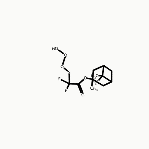 CC1(OC(=O)C(F)(F)SOOO)CC2CC(C1)C2(C)C